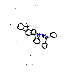 CC1(C)c2c(ccc3c2ccc2c3c3ccccc3n2C[N@]2C(c3ccccc3)[C@H]2C2=CCCC=C2)C2=CC=CCC21